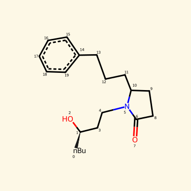 CCCC[C@@H](O)CCN1C(=O)CCC1CCCc1ccccc1